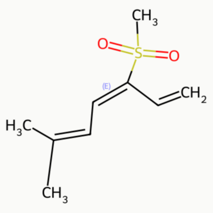 C=C/C(=C\C=C(C)C)S(C)(=O)=O